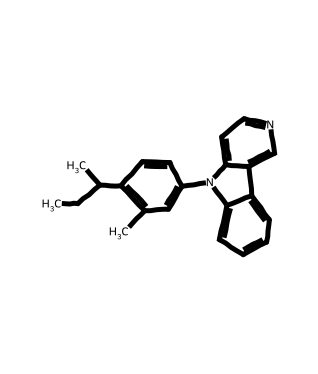 CCC(C)c1ccc(-n2c3ccccc3c3cnccc32)cc1C